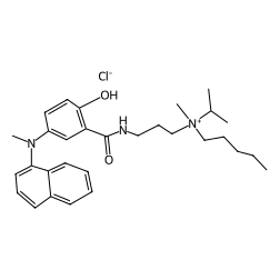 CCCCC[N+](C)(CCCNC(=O)c1cc(N(C)c2cccc3ccccc23)ccc1O)C(C)C.[Cl-]